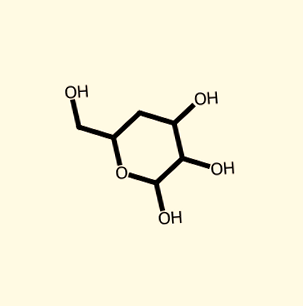 OCC1CC(O)C(O)C(O)O1